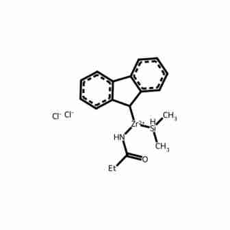 CCC(=O)[NH][Zr+2]([CH]1c2ccccc2-c2ccccc21)[SiH](C)C.[Cl-].[Cl-]